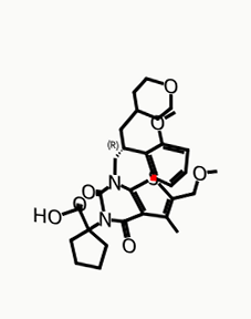 COCc1sc2c(c1C)c(=O)n(C1(C(=O)O)CCCC1)c(=O)n2C[C@H](CC1CCOCC1)c1ccccc1OC